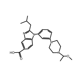 COC(C)N1CCN(c2cccc(-n3c(CC(C)C)nc4cc(C(=O)O)ccc43)c2)CC1